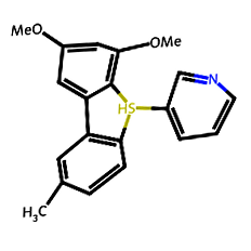 COc1cc(OC)c2c(c1)-c1cc(C)ccc1[SH]2c1cccnc1